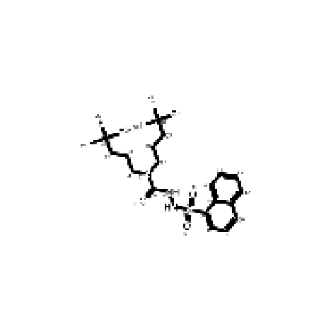 O=C(NNS(=O)(=O)c1cccc2ccccc12)N(CCCC(F)(F)F)CCCC(F)(F)F